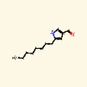 CCCCCCCCc1cc(C=O)c[nH]1